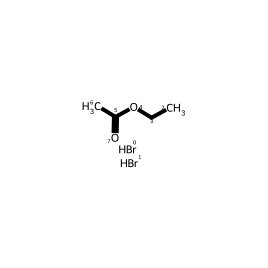 Br.Br.CCOC(C)=O